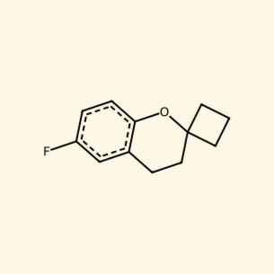 Fc1ccc2c(c1)CCC1(CCC1)O2